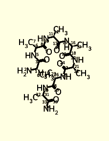 C[C@H](N)C(=O)N[C@@H](C)C(=O)N[C@@H](C)C(=O)N[C@@H](C)C(=O)N[C@@H](C)C(=O)N[C@@H](C)C(=O)N[C@@H](C)C(N)=O